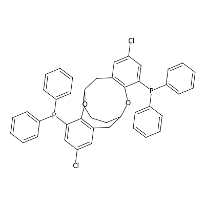 Clc1cc2c(c(P(c3ccccc3)c3ccccc3)c1)OC1CCCC(C2)Oc2c(cc(Cl)cc2P(c2ccccc2)c2ccccc2)C1